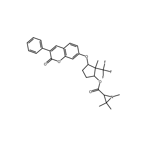 CN1C(C(=O)OC2CCC(Oc3ccc4cc(-c5ccccc5)c(=O)oc4c3)C2(C)C(F)(F)F)C1(C)C